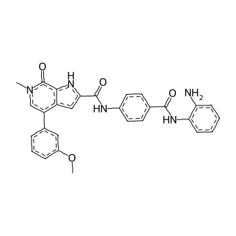 COc1cccc(-c2cn(C)c(=O)c3[nH]c(C(=O)Nc4ccc(C(=O)Nc5ccccc5N)cc4)cc23)c1